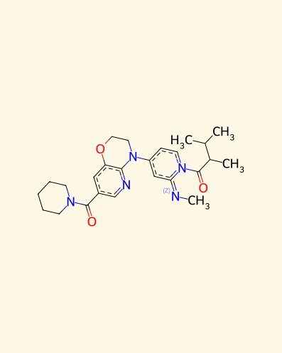 C/N=c1/cc(N2CCOc3cc(C(=O)N4CCCCC4)cnc32)ccn1C(=O)C(C)C(C)C